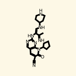 CC(=N)/C(=C\NC1CCNCC1)Nc1ncc2cc(C#N)c(=O)n(C3CCCC3)c2n1